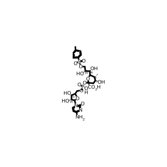 Cc1ccc(S(=O)(=O)OC[C@@H](O)[C@@H](O)C2O[C@](OP(=O)(O)OCC3OC(n4ccc(N)nc4=O)[C@H](O)[C@@H]3O)(C(=O)O)C[C@@H](O)[C@H]2C)cc1